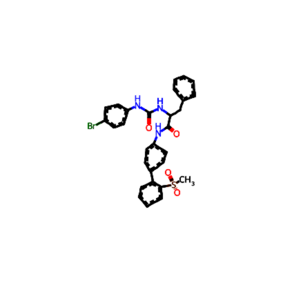 CS(=O)(=O)c1ccccc1-c1ccc(NC(=O)C(Cc2ccccc2)NC(=O)Nc2ccc(Br)cc2)cc1